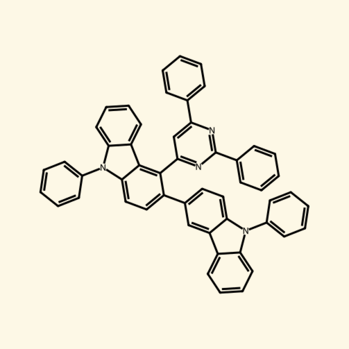 c1ccc(-c2cc(-c3c(-c4ccc5c(c4)c4ccccc4n5-c4ccccc4)ccc4c3c3ccccc3n4-c3ccccc3)nc(-c3ccccc3)n2)cc1